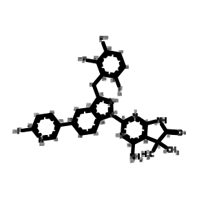 CC1(C)C(=O)Nc2nc(-n3nc(Cc4c(F)ccc(F)c4F)c4cc(-c5ccc(F)nc5)ccc43)nc(N)c21